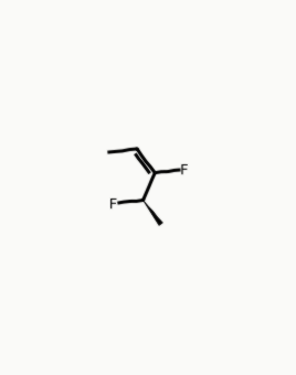 C/C=C(/F)[C@@H](C)F